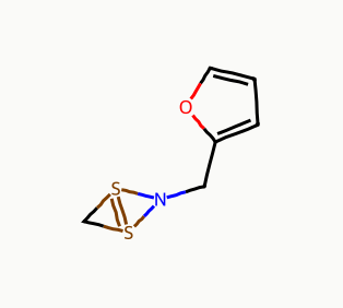 c1coc(CN2S3=S2C3)c1